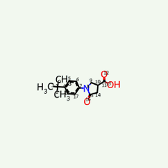 CC(C)(C)c1ccc(N2CC(C(=O)O)CC2=O)cc1